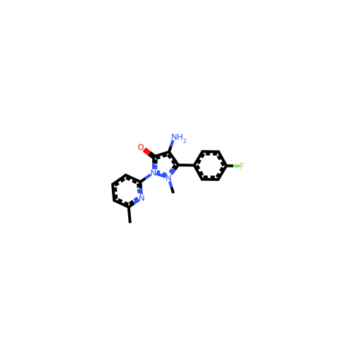 Cc1cccc(-n2c(=O)c(N)c(-c3ccc(F)cc3)n2C)n1